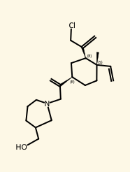 C=C[C@]1(C)CC[C@@H](C(=C)CN2CCCC(CO)C2)C[C@H]1C(=C)CCl